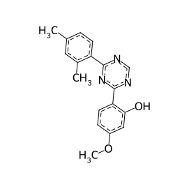 COc1ccc(-c2ncnc(-c3ccc(C)cc3C)n2)c(O)c1